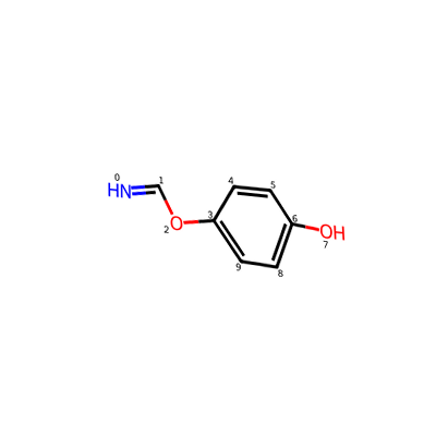 N=COc1ccc(O)cc1